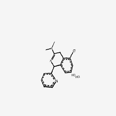 CN(C)C1=NC(c2ccccn2)c2cccc(Cl)c2C1.Cl.Cl